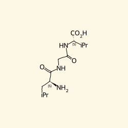 CC(C)C[C@H](N)C(=O)NCC(=O)N[C@H](C(=O)O)C(C)C